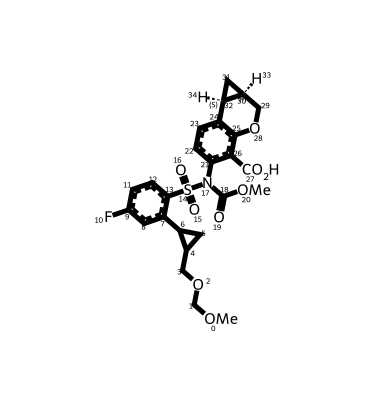 COCOCC1CC1c1cc(F)ccc1S(=O)(=O)N(C(=O)OC)c1ccc2c(c1C(=O)O)OC[C@@H]1C[C@H]21